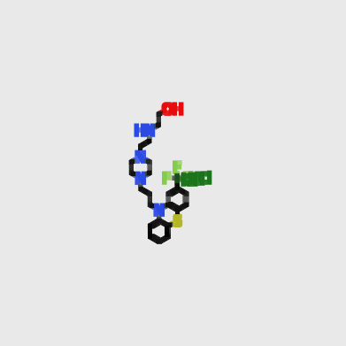 Cl.Cl.Cl.OCCNCCN1CCN(CCCN2c3ccccc3Sc3ccc(C(F)(F)F)cc32)CC1